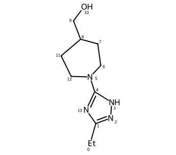 CCc1n[nH]c(N2CCC(CO)CC2)n1